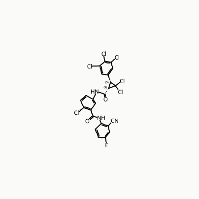 N#Cc1cc(F)ccc1NC(=O)c1cc(NC(=O)[C@@H]2[C@@H](c3cc(Cl)c(Cl)c(Cl)c3)C2(Cl)Cl)ccc1Cl